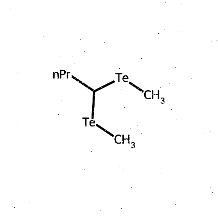 CCCC([Te]C)[Te]C